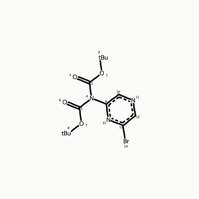 CC(C)(C)OC(=O)N(C(=O)OC(C)(C)C)c1cncc(Br)n1